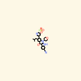 CC(C)Cc1cc2c(=O)c3c4ccc(C#N)cc4[nH]c3n(C3CCOCC3)c2cc1-c1cncc(OS(=O)(=O)F)c1